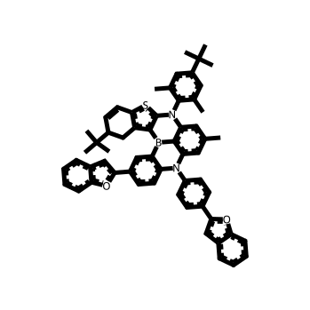 Cc1cc2c3c(c1)N(c1c(C)cc(C(C)(C)C)cc1C)c1sc4c(c1B3c1cc(-c3cc5ccccc5o3)ccc1N2c1ccc(-c2cc3ccccc3o2)cc1)CC(C(C)(C)C)C=C4